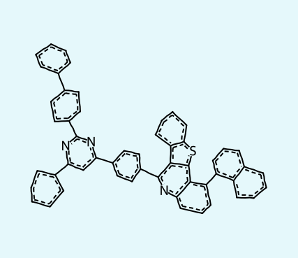 c1ccc(-c2ccc(-c3nc(-c4ccccc4)cc(-c4ccc(-c5nc6cccc(-c7cccc8ccccc78)c6c6sc7ccccc7c56)cc4)n3)cc2)cc1